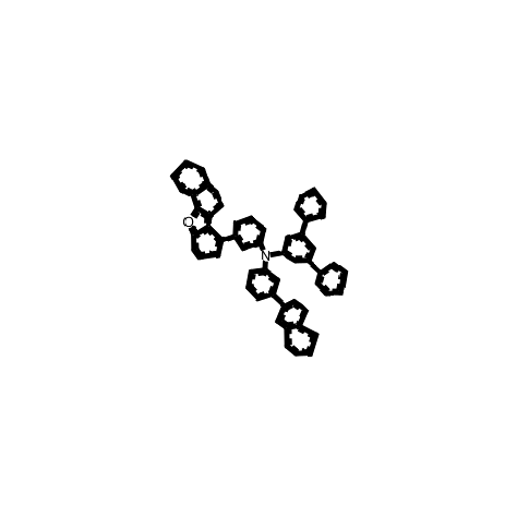 c1ccc(-c2cc(-c3ccccc3)cc(N(c3cccc(-c4ccc5ccccc5c4)c3)c3cccc(-c4cccc5oc6c7ccccc7ccc6c45)c3)c2)cc1